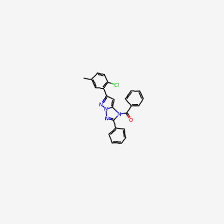 Cc1ccc(Cl)c(-c2cc3n(C(=O)c4ccccc4)c(-c4ccccc4)nn3n2)c1